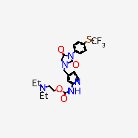 CCN(CC)CCOC(=O)Nc1cc(CN2CC(=O)N(c3ccc(SC(F)(F)F)cc3)C2=O)ccn1